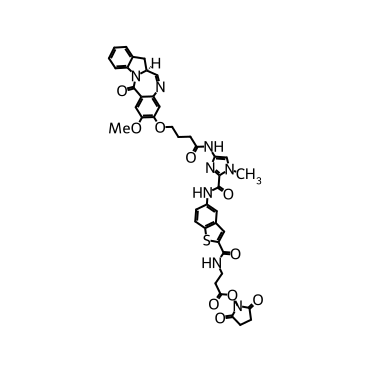 COc1cc2c(cc1OCCCC(=O)Nc1cn(C)c(C(=O)Nc3ccc4sc(C(=O)NCCC(=O)ON5C(=O)CCC5=O)cc4c3)n1)N=C[C@@H]1Cc3ccccc3N1C2=O